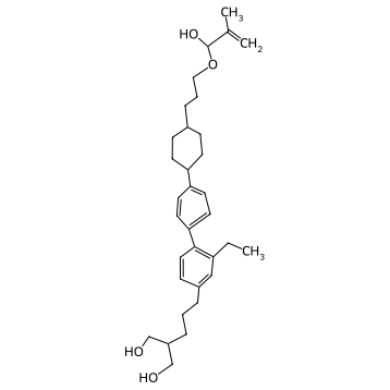 C=C(C)C(O)OCCCC1CCC(c2ccc(-c3ccc(CCCC(CO)CO)cc3CC)cc2)CC1